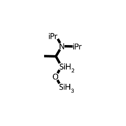 CC(C)N(C(C)C)C(C)[SiH2]O[SiH3]